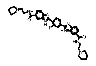 O=C(NCCN1CCCCC1)c1ccc2nc(-c3ccc(-c4nc5ccc(C(=O)NCCN6CCCCC6)cc5[nH]4)c(F)c3)[nH]c2c1